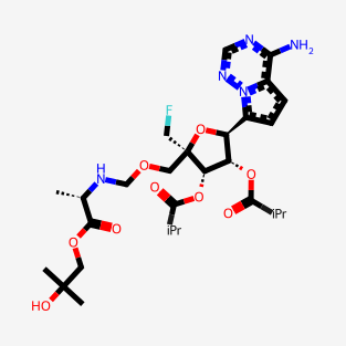 CC(C)C(=O)O[C@H]1[C@H](c2ccc3c(N)ncnn23)O[C@](CF)(COCN[C@@H](C)C(=O)OCC(C)(C)O)[C@H]1OC(=O)C(C)C